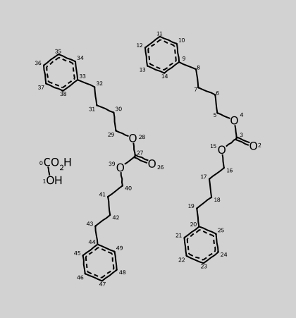 O=C(O)O.O=C(OCCCCc1ccccc1)OCCCCc1ccccc1.O=C(OCCCCc1ccccc1)OCCCCc1ccccc1